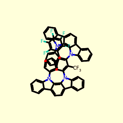 Fc1c(F)c(F)c(-c2ccc(-n3c4ccccc4c4ccc5c6ccccc6n(-c6ccccc6)c5c43)c(C(F)(F)F)c2-n2c3ccccc3c3ccc4c5ccccc5n(-c5ccccc5)c4c32)c(F)c1F